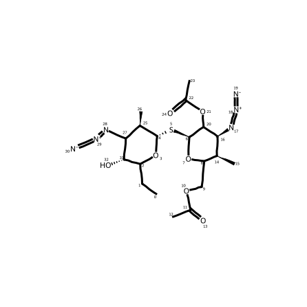 CCC1O[C@@H](S[C@@H]2OC(COC(C)=O)[C@H](C)[C@H](N=[N+]=[N-])C2OC(C)=O)[C@H](C)C(N=[N+]=[N-])[C@H]1O